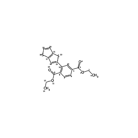 CCOC(=O)c1ccc(C(=O)OCC)c(-c2cc3sccc3s2)c1